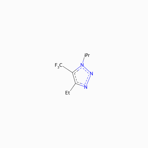 CCc1nnn(C(C)C)c1C(F)(F)F